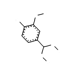 CCOc1cc(C(OCC)OCC)ccc1O